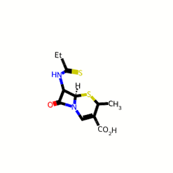 CCC(=S)NC1C(=O)N2C=C(C(=O)O)C(C)S[C@H]12